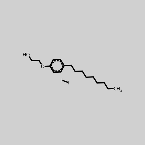 CCCCCCCCCc1ccc(OCCO)cc1.II